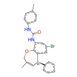 CC1=C[C@H](c2ccccc2)c2cc(Br)cc(NC(=O)Nc3ccc(C)cc3)c2OC1